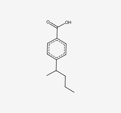 CCC[C](C)c1ccc(C(=O)O)cc1